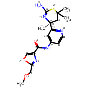 COCc1nc(C(=O)Nc2ccnc([C@]3(C)CC(C)(C)SC(N)=N3)c2)co1